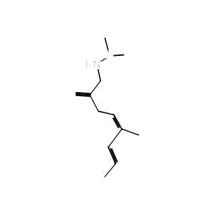 C=C(C/C=C(C)\C=C\C)CNP(C)C